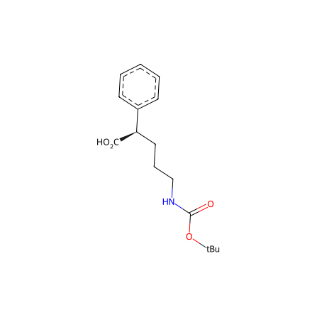 CC(C)(C)OC(=O)NCCC[C@@H](C(=O)O)c1ccccc1